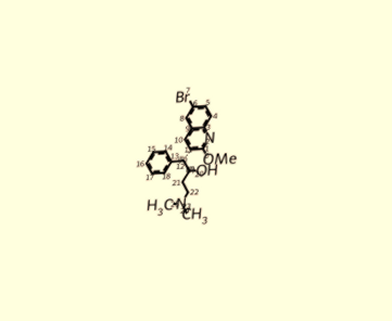 COc1nc2ccc(Br)cc2cc1[C@@H](c1ccccc1)[C@@H](O)CCN(C)C